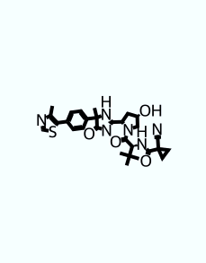 Cc1ncsc1-c1ccc(C2(C)NC(C3C[C@@H](O)CN3C(=O)[C@@H](NC(=O)C3(C#N)CC3)C(C)(C)C)=NC2=O)cc1